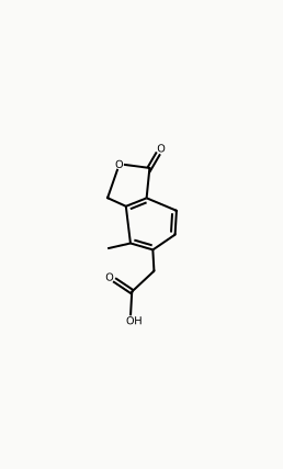 Cc1c(CC(=O)O)ccc2c1COC2=O